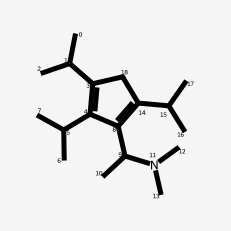 CC(C)C1=C(C(C)C)C(C(C)N(C)C)=C(C(C)C)C1